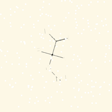 NOC(F)(F)C(F)F